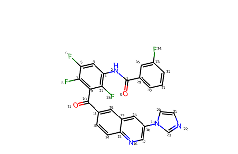 O=C(Nc1cc(F)c(F)c(C(=O)c2ccc3ncc(-n4ccnc4)cc3c2)c1F)c1cccc(F)c1